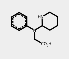 O=C(O)CN(c1ccccc1)C1CCCCN1